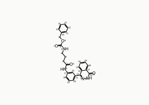 O=C(CCCNC(=O)OCc1ccccc1)Nc1cccc(-c2n[nH]c(=O)c3ccccc23)c1